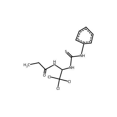 CCC(=O)NC(NC(=S)Nc1ccccc1)C(Cl)(Cl)Cl